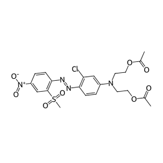 CC(=O)OCCN(CCOC(C)=O)c1ccc(N=Nc2ccc([N+](=O)[O-])cc2S(C)(=O)=O)c(Cl)c1